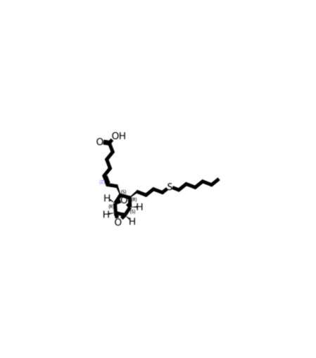 CCCCCCSCCCC[C@@H]1[C@H](C/C=C\CCCC(=O)O)[C@H]2O[C@@H]1[C@H]1O[C@H]12